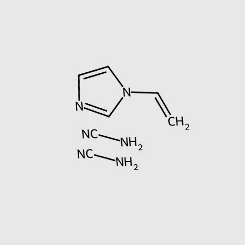 C=Cn1ccnc1.N#CN.N#CN